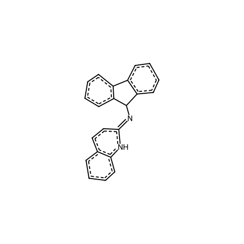 c1ccc2c(c1)-c1ccccc1C2N=c1ccc2ccccc2[nH]1